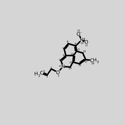 C=CCON1C=c2ccc([N+](=O)[O-])c3c2=C(C=C(C)C3)C1